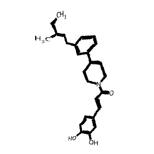 CC/C(C)=C/Cc1cccc(C2CCN(C(=O)/C=C/c3ccc(O)c(O)c3)CC2)c1